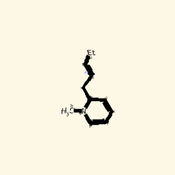 CC/C=C/CC1C=CC=CN1C